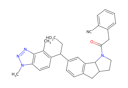 Cc1c(C(CC(=O)O)c2ccc3c(c2)C2C(CCN2C(=O)Cc2ccccc2C#N)C3)ccc2c1nnn2C